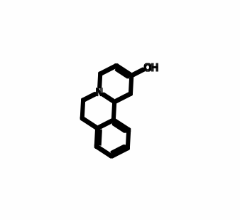 OC1=CCN2CCc3ccccc3C2C1